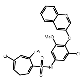 CCCC1=CC(Cl)=CCC=C1S(=O)(=O)Nc1cc(Cl)c(Oc2cnc3ccccc3c2)c(OC)c1